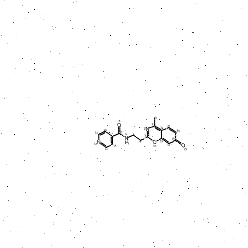 Cc1nc(CCNC(=O)c2ccncc2)oc2cc(=O)ccc1-2